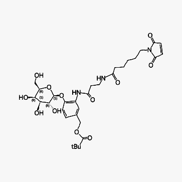 CC(C)(C)C(=O)OCc1ccc(O[C@@H]2O[C@H](CO)[C@H](O)[C@H](O)[C@H]2O)c(NC(=O)CCNC(=O)CCCCCN2C(=O)C=CC2=O)c1